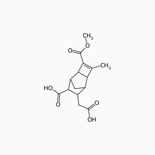 COC(=O)C1=C(C)C2C3CC(C(C(=O)O)C3CC(=O)O)C12